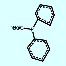 O=C([O-])P(c1ccccc1)c1ccccc1.[Na+]